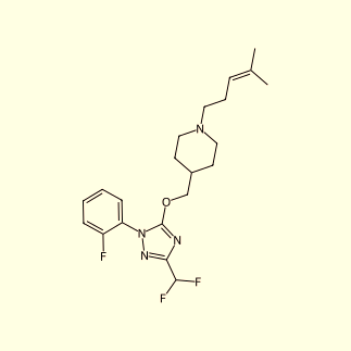 CC(C)=CCCN1CCC(COc2nc(C(F)F)nn2-c2ccccc2F)CC1